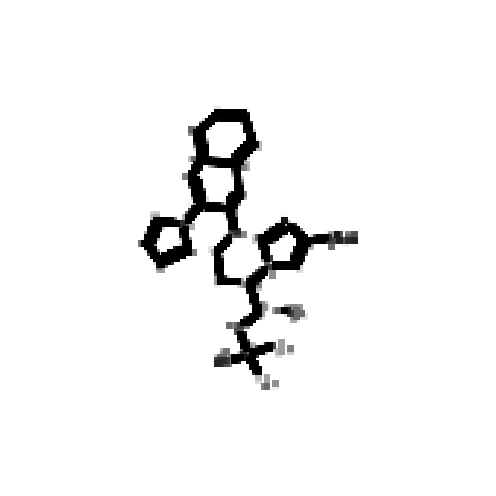 CCOC(=O)c1cn([C@H](CCOc2cc3ccccc3cc2-n2cccc2)[C@H](C)O[Si](C)(C)C(C)(C)C)cn1